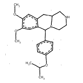 COc1cc2c(cc1OC)C(c1ccc(OC(C)C)cc1)N1CCNCC1C2